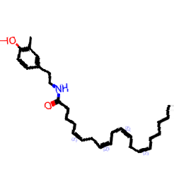 CCCCC/C=C\C/C=C\C/C=C\C/C=C\CCCC(=O)NCCc1ccc(O)c(C)c1